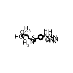 CC(C)(CCc1ncc(-c2ccc(NC(=O)Nc3nnn[nH]3)cc2)s1)C(=O)O